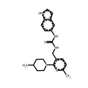 CC1CCN(c2nc(C(F)(F)F)ccc2CNC(=O)Nc2ccc3[nH]ccc3c2)CC1